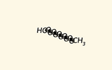 COOOOOOOOOOO